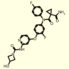 NC(=O)C1(C(=O)N(c2ccc(F)cc2)c2ccc(Oc3ccnc(NC(=O)N4CC(O)C4)c3)c(F)c2)CC1